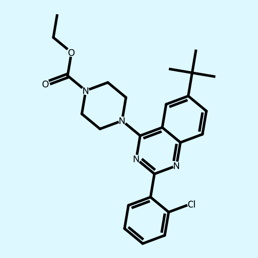 CCOC(=O)N1CCN(c2nc(-c3ccccc3Cl)nc3ccc(C(C)(C)C)cc23)CC1